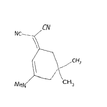 CNC1=CC(=C(C#N)C#N)CC(C)(C)C1